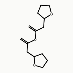 C=C(CC1CCCO1)OC(=C)CC1CCCO1